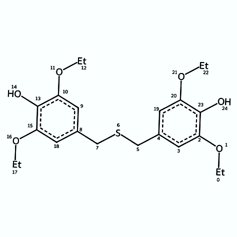 CCOc1cc(CSCc2cc(OCC)c(O)c(OCC)c2)cc(OCC)c1O